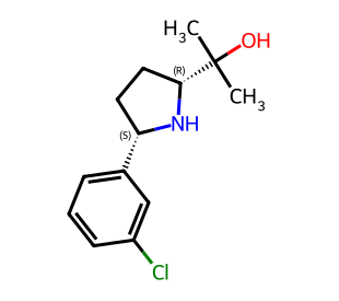 CC(C)(O)[C@H]1CC[C@@H](c2cccc(Cl)c2)N1